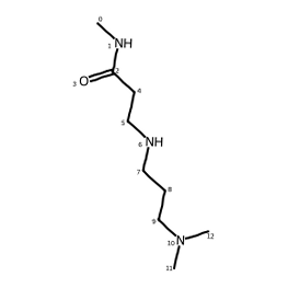 CNC(=O)CCNCCCN(C)C